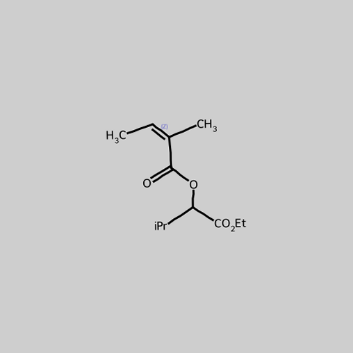 C/C=C(/C)C(=O)OC(C(=O)OCC)C(C)C